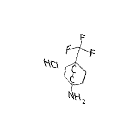 Cl.NC12CCC(C(F)(F)F)(CC1)CC2